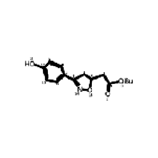 CC(C)COC(=O)CC1CC(c2ccc(O)cc2)=NO1